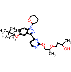 CC(O)CCOC(C)COc1nccc(-c2nn(C3CCCCO3)c3ccc(O[Si](C)(C)C(C)(C)C)cc23)n1